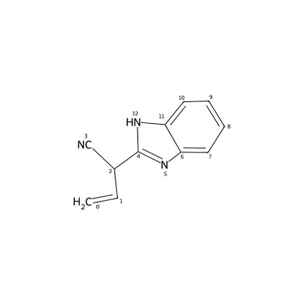 C=CC(C#N)c1nc2ccccc2[nH]1